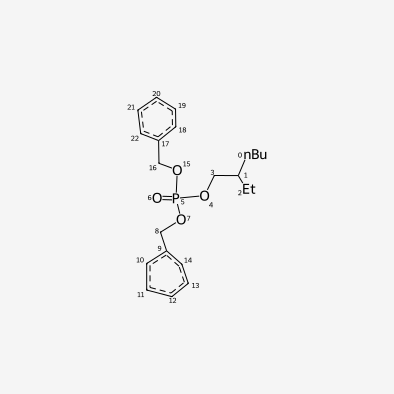 CCCCC(CC)COP(=O)(OCc1ccccc1)OCc1ccccc1